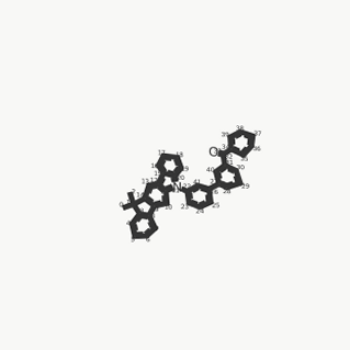 CC1(C)c2ccccc2-c2cc3c(cc21)c1ccccc1n3-c1cccc(-c2cccc(C(=O)c3ccccc3)c2)c1